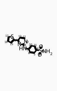 NS(=O)(=O)c1ccc(Nc2nccc(-c3cccs3)n2)cc1